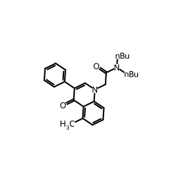 CCCCN(CCCC)C(=O)Cn1cc(-c2ccccc2)c(=O)c2c(C)cccc21